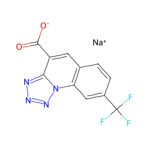 O=C([O-])c1cc2ccc(C(F)(F)F)cc2n2nnnc12.[Na+]